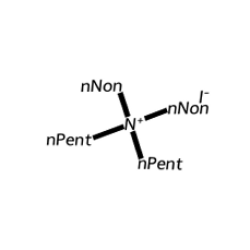 CCCCCCCCC[N+](CCCCC)(CCCCC)CCCCCCCCC.[I-]